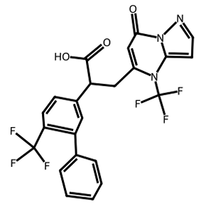 O=C(O)C(Cc1cc(=O)n2nccc2n1C(F)(F)F)c1ccc(C(F)(F)F)c(-c2ccccc2)c1